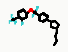 CCCCC1CCC(c2ccc(C(F)(F)Oc3ccc(C(F)(F)F)c(F)c3)cc2)C1